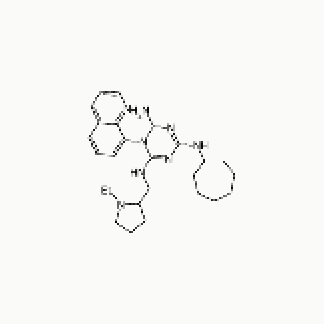 CCN1CCCC1CNC1=NC(NC2CCCCCC2)=NC(N)N1c1cccc2cccnc12